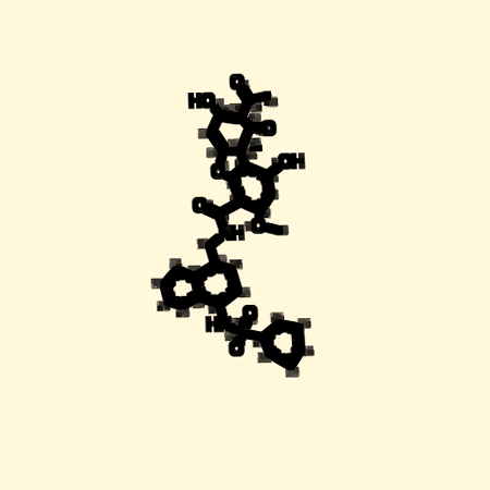 COc1cc(O)c2c(c1C(=O)NCc1ccc(NS(=O)(=O)c3ccccc3)c3ccccc13)OC1=CC(O)=C(C(C)=O)C(=O)[C@]12C